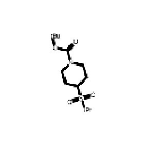 CC(C)S(=O)(=O)C1CCN(C(=O)OC(C)(C)C)CC1